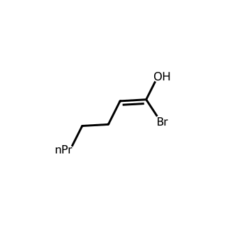 CCCCCC=C(O)Br